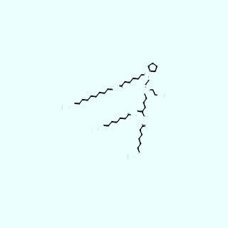 CCCCCCCCCCCOC(=O)CCCCCN(CCN(CCO)CCCCC(COC(=O)CCCCCCC)COC(=O)CCCCCCC)C1CCCC1